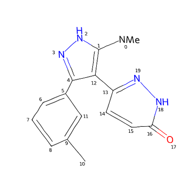 CNc1[nH]nc(-c2cccc(C)c2)c1-c1ccc(=O)[nH]n1